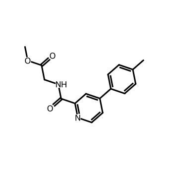 COC(=O)CNC(=O)c1cc(-c2ccc(C)cc2)ccn1